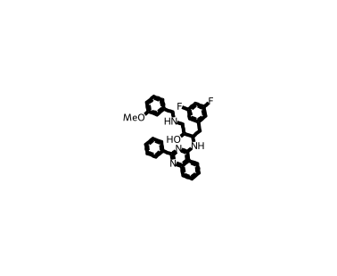 COc1cccc(CNCC(O)C(Cc2cc(F)cc(F)c2)Nc2nc(-c3ccccc3)nc3ccccc23)c1